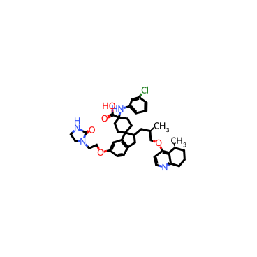 C[C@@H](COc1ccnc2c1[C@H](C)CCC2)CC1Cc2ccc(OCCN3CCNC3=O)cc2C12CCC(Nc1cccc(Cl)c1)(C(=O)O)CC2